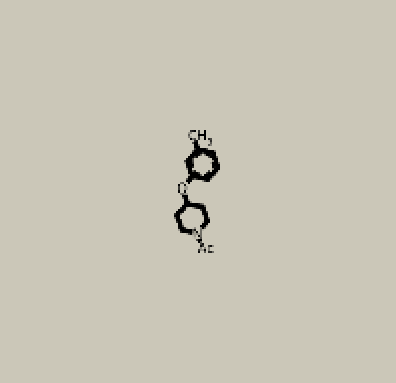 CC(=O)N1CCC(Oc2cccc(C)c2)CC1